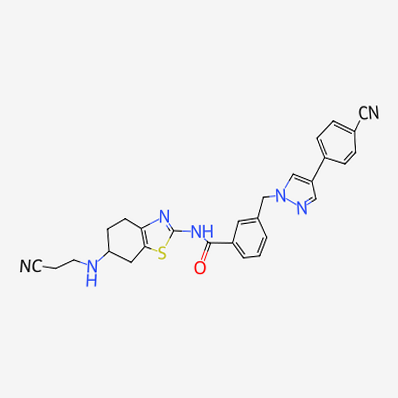 N#CCCNC1CCc2nc(NC(=O)c3cccc(Cn4cc(-c5ccc(C#N)cc5)cn4)c3)sc2C1